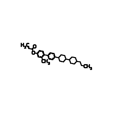 C=CC(=O)Oc1ccc(-c2ccc(C3CCC(C4CCC(CCC)CC4)CC3)cc2)c(C)c1